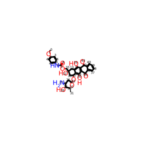 COc1ccc(NC(=O)OC[C@]2(O)Cc3c(O)c4c(c(O)c3[C@@H](O[C@H]3C[C@H](N)[C@H](O)[C@H](C)O3)C2)C(=O)c2ccccc2C4=O)cc1